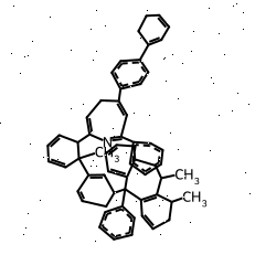 CC1CC=CC2=C1C(C)CC1CC=CC=C1C2(c1ccccc1)C1C=C(C2(C)C=CC=CC2C2=CCC(c3ccc(C4=CC=CCC4)cc3)=CC(c3ccccc3)=N2)C=CC1